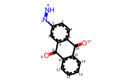 N=Nc1ccc2c(c1)C(=O)c1ccccc1C2=O